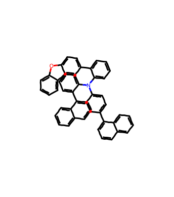 c1ccc(N(c2ccc(-c3cccc4ccccc34)cc2)c2ccccc2-c2cccc3ccccc23)c(-c2ccc3oc4ccccc4c3c2)c1